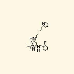 CC(C)c1cnn2c(NCc3ccccc3F)cc(NCCCCCCc3ccccn3)nc12